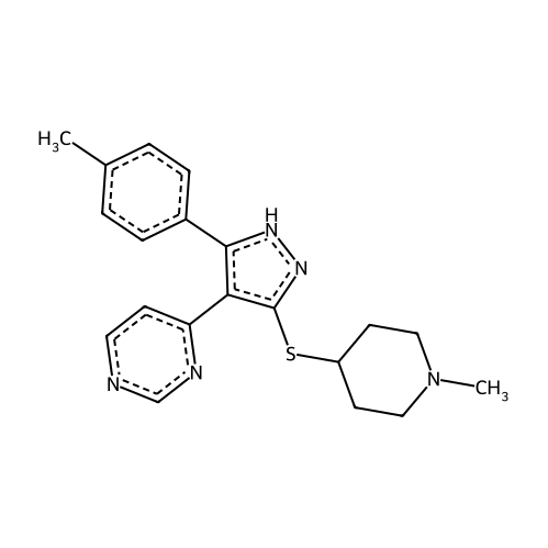 Cc1ccc(-c2[nH]nc(SC3CCN(C)CC3)c2-c2ccncn2)cc1